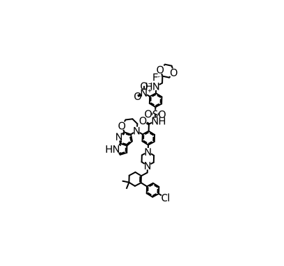 CC1(C)CCC(CN2CCN(c3ccc(C(=O)NS(=O)(=O)c4ccc(NC[C@]5(F)COCCO5)c([N+](=O)[O-])c4)c(N4CCCOc5nc6[nH]ccc6cc54)c3)CC2)=C(c2ccc(Cl)cc2)C1